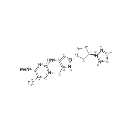 CNc1nc(Nc2cn([C@@H]3CC[C@@H](n4nccn4)C3)nc2C)ncc1C(F)(F)F